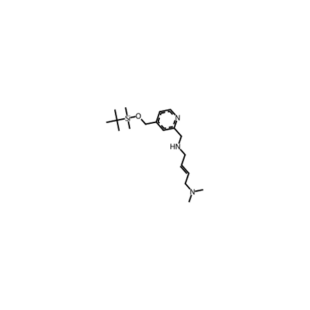 CN(C)CC=CCNCc1cc(CO[Si](C)(C)C(C)(C)C)ccn1